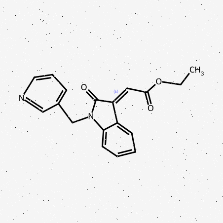 CCOC(=O)/C=C1/C(=O)N(Cc2cccnc2)c2ccccc21